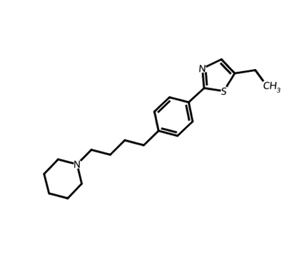 CCc1cnc(-c2ccc(CCCCN3CCCCC3)cc2)s1